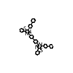 c1ccc(-c2ccc(-c3nc(-c4ccc(-c5ccc(-c6nc(-c7ccc(-c8ccccc8)cc7)c7sc8ccccc8c7n6)cc5)cc4)nc4c3sc3ccccc34)cc2)cc1